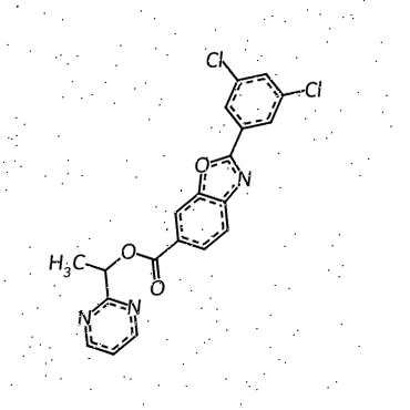 CC(OC(=O)c1ccc2nc(-c3cc(Cl)cc(Cl)c3)oc2c1)c1ncccn1